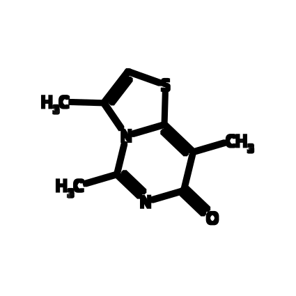 Cc1c(=O)nc(C)n2c(C)csc12